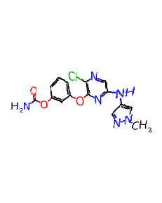 Cn1cc(Nc2cnc(Cl)c(Oc3cccc(OC(N)=O)c3)n2)cn1